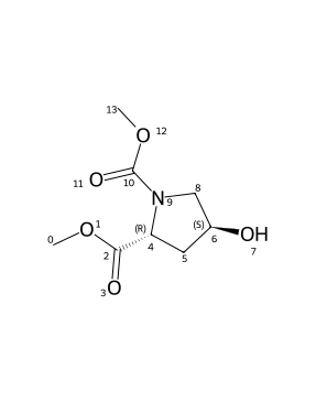 COC(=O)[C@H]1C[C@H](O)CN1C(=O)OC